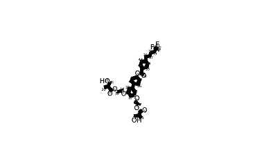 C=C(CO)C(=O)OCCOc1cc(OCCOC(=O)C(=C)CO)cc(-c2ccc(OC(=O)c3ccc(CCCCC(F)(F)F)cc3)cc2)c1